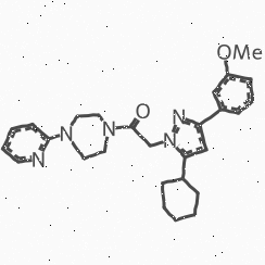 COc1cccc(-c2cc(C3CCCCC3)n(CC(=O)N3CCN(c4ccccn4)CC3)n2)c1